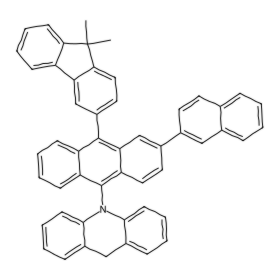 CC1(C)c2ccccc2-c2cc(-c3c4ccccc4c(N4c5ccccc5Cc5ccccc54)c4ccc(-c5ccc6ccccc6c5)cc34)ccc21